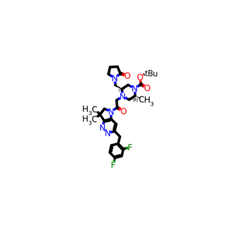 C[C@@H]1CN(CC(=O)N2CC(C)(C)c3nnc(Cc4ccc(F)cc4F)cc32)[C@@H](CN2CCCC2=O)CN1C(=O)OC(C)(C)C